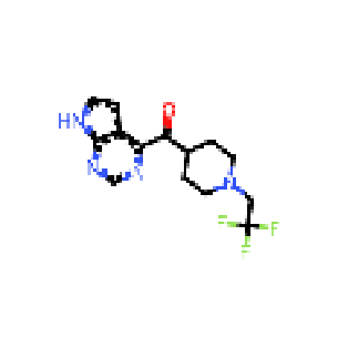 O=C(c1ncnc2[nH]ccc12)C1CCN(CC(F)(F)F)CC1